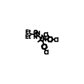 CCC(CC)c1nc(-c2nn(-c3ccc(Cl)cc3Cl)c(-c3ccc(Cl)cc3)c2C)no1